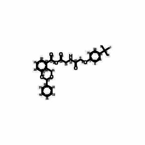 CC(C)(C)c1ccc(OCC(=O)NCC(=O)OC(=O)c2cccc3c2COC(c2ccccc2)O3)cc1